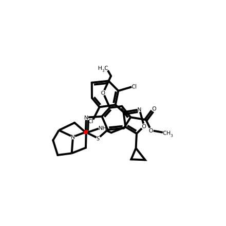 CCOc1cc(C(=O)OC)cc2sc(N3C4CCC3CC(NCc3c(-c5c(Cl)cccc5Cl)noc3C3CC3)C4)nc12